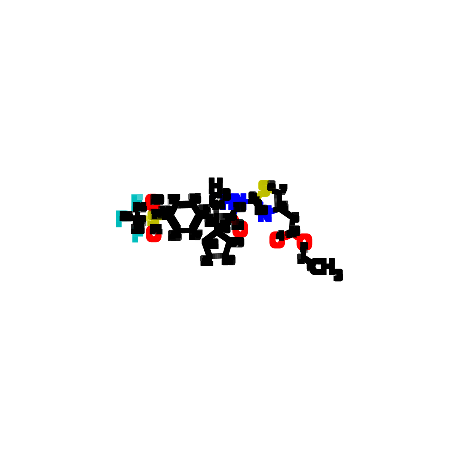 CCOC(=O)Cc1csc(NC(=O)C(C)(c2ccc(S(=O)(=O)C(F)(F)F)cc2)C2CCCC2)n1